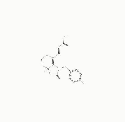 COC(=O)/C=C/C1=C2N(Cc3ccc(F)cc3)C(=O)CC2(C)CCC1